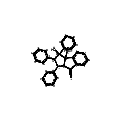 O=C1c2ccccc2C2(O)C1C(c1ccccc1)C(c1ccccc1)C2(O)c1ccccc1